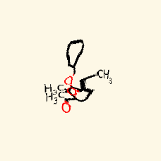 CCC12CCC(C=O)(O1)C(C)(C)C2OCc1ccccc1